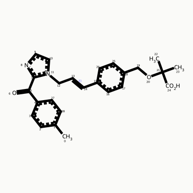 Cc1ccc(C(=O)c2nccn2C/C=C/c2ccc(COC(C)(C)C(=O)O)cc2)cc1